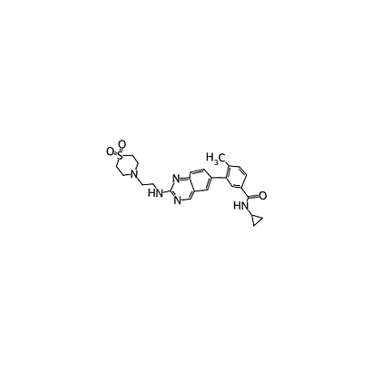 Cc1ccc(C(=O)NC2CC2)cc1-c1ccc2nc(NCCN3CCS(=O)(=O)CC3)ncc2c1